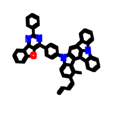 C=C/C=C\c1ccc2c(c1C)c1c3c4ccccc4n4c5ccccc5c(cc1n2-c1ccc(-c2nc(-c5ccccc5)nc5c2oc2ccccc25)cc1)c34